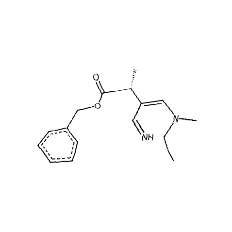 CCN(C)/C=C(\C=N)[C@@H](C)C(=O)OCc1ccccc1